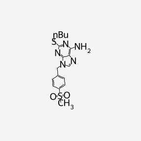 CCCCSc1nc(N)c2ncn(Cc3ccc(S(C)(=O)=O)cc3)c2n1